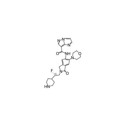 O=C(Nc1cc2c(cc1N1CCOCC1)C(=O)N(C[C@@H](F)C1CCNCC1)C2)c1cnn2cccnc12